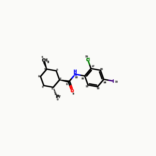 CC(C)[C@@H]1CC[C@@H](C)C[C@H]1C(=O)Nc1ccc(I)cc1Cl